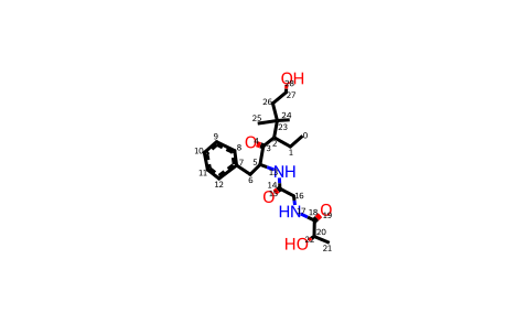 CCC(C(=O)C(Cc1ccccc1)NC(=O)CNC(=O)C(C)O)C(C)(C)CCO